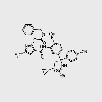 CC(C)(C)N(Cc1ccccc1)C(=O)On1nc(C(F)(F)F)cc1C(=O)Nc1cc([C@](CCC2CC2)(N[S@+]([O-])C(C)(C)C)c2ccc(C#N)cc2)ccc1F